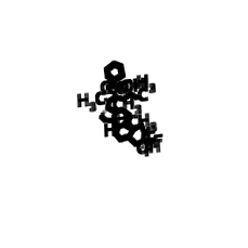 CC[C@@H](O)CC([C@@H](C)[C@H]1CC[C@H]2[C@@H]3CC=C4C[C@](O)(C(F)(F)F)CC[C@]4(C)C3CC[C@]12C)S(=O)(=O)c1ccccc1